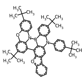 CC(C)(C)c1ccc(N2c3cc(C(C)(C)C)ccc3B3c4c2cc2c(oc5ccccc52)c4-c2cc(C(C)(C)C)cc4c2N3c2ccc(C(C)(C)C)cc2O4)cc1